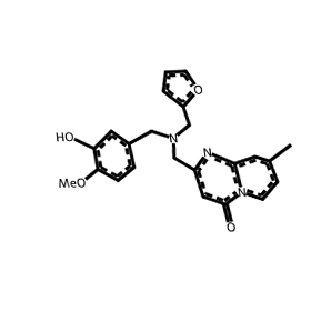 COc1ccc(CN(Cc2cc(=O)n3ccc(C)cc3n2)Cc2ccco2)cc1O